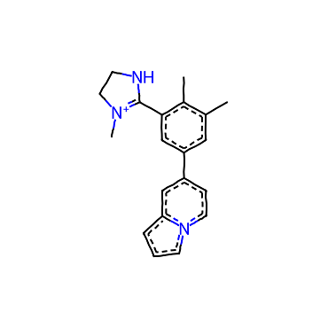 Cc1cc(-c2ccn3cccc3c2)cc(C2=[N+](C)CCN2)c1C